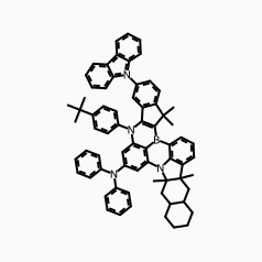 CC(C)(C)c1ccc(N2C3=C(B4c5cccc6c5N(c5cc(N(c7ccccc7)c7ccccc7)cc2c54)C2(C)CC4CCCCC4CC62C)C(C)(C)c2ccc(-n4c5ccccc5c5ccccc54)cc23)cc1